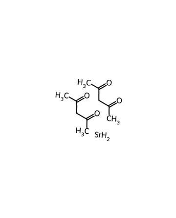 CC(=O)CC(C)=O.CC(=O)CC(C)=O.[SrH2]